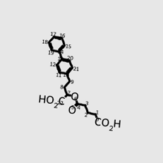 O=C(O)CCCC(=O)OC(CCc1ccc(-c2ccccc2)cc1)C(=O)O